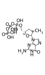 C[C@H]1C[C@@H](COP(=O)(O)OP(=O)(O)OP(=O)(O)O)OC1n1cnc2c(=O)[nH]c(N)nc21